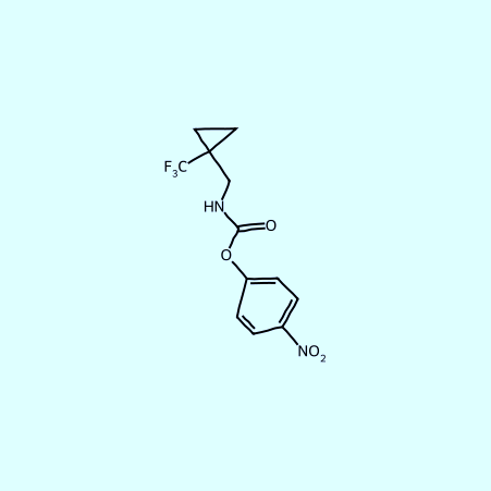 O=C(NCC1(C(F)(F)F)CC1)Oc1ccc([N+](=O)[O-])cc1